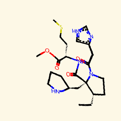 CC[C@H]1CCN(C(=O)Cc2c[nH]cn2)[C@]1(C[C@@H]1CCCN1)C(=O)N[C@@H](CCSC)C(=O)OC